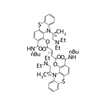 CCCCNC(=O)c1ccc2c(c1OC(=O)/C=C/C(=O)Oc1c(C(=O)NCCCC)ccc3c1N([C@@H](C)CN(CC)CC)c1ccccc1S3)N([C@@H](C)CN(CC)CC)c1ccccc1S2